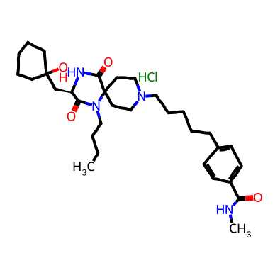 CCCCN1C(=O)[C@@H](CC2(O)CCCCC2)NC(=O)C12CCN(CCCCCc1ccc(C(=O)NC)cc1)CC2.Cl